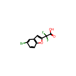 O=C(O)C(F)(F)c1cc2cc(Br)ccc2o1